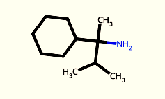 CC(C)C(C)(N)C1CCCCC1